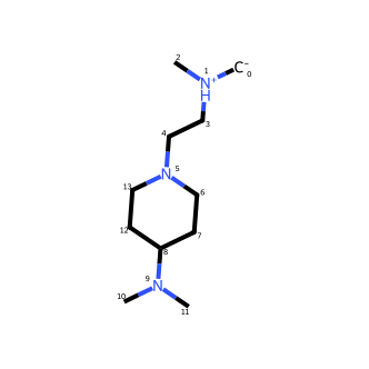 [CH2-][NH+](C)CCN1CCC(N(C)C)CC1